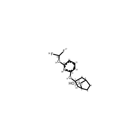 O=C(O)N1C2CCC1CC(Oc1cccc(OC(F)F)n1)C2